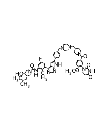 COc1ccc(C(=O)N2CCC(CN3CCN(Cc4ccc(-c5cc6c(-c7cc(F)cc(NC(=O)N8C[C@@H](CC(C)C)[C@H](O)C8)c7C)ncnc6[nH]5)cc4)CC3)CC2)cc1N1CCC(=O)NC1=O